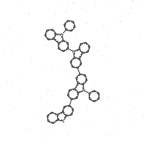 c1ccc(-n2c3ccc(-c4ccc5c(c4)c4ccccc4n5-c4ccc5c6ccccc6n(-c6ccccc6)c5c4)cc3c3ccc(-c4ccc5sc6ccccc6c5c4)cc32)cc1